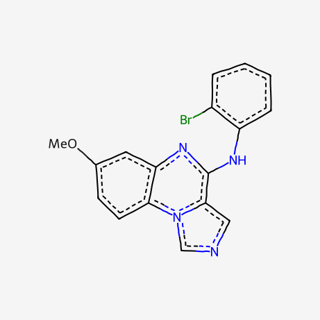 COc1ccc2c(c1)nc(Nc1ccccc1Br)c1cncn12